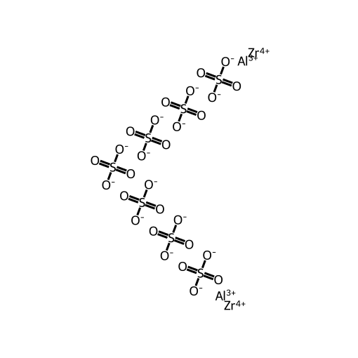 O=S(=O)([O-])[O-].O=S(=O)([O-])[O-].O=S(=O)([O-])[O-].O=S(=O)([O-])[O-].O=S(=O)([O-])[O-].O=S(=O)([O-])[O-].O=S(=O)([O-])[O-].[Al+3].[Al+3].[Zr+4].[Zr+4]